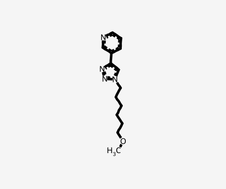 COCCCCCCn1cc(-c2cccnc2)nn1